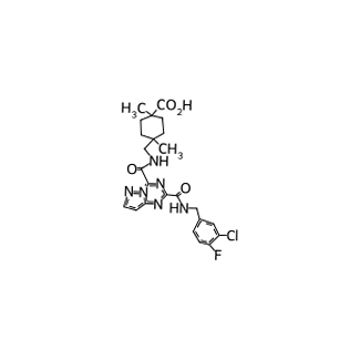 CC1(CNC(=O)c2nc(C(=O)NCc3ccc(F)c(Cl)c3)nc3ccnn23)CCC(C)(C(=O)O)CC1